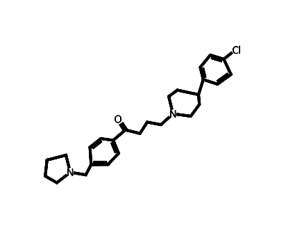 O=C(CCCN1CCC(c2ccc(Cl)cc2)CC1)c1ccc(CN2CCCC2)cc1